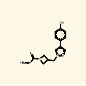 CC(C)(C)OC(=O)N1CC(Cn2cc(-c3ccc(C#N)cc3)cn2)C1